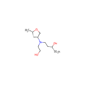 CC1CC(N(CCO)CCC(O)S(=O)(=O)O)CO1